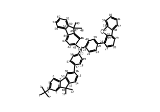 CC(C)(C)c1ccc2c(c1)C(C)(C)c1ccc(-c3ccc(N(c4ccc(-c5cccc6c5oc5ccccc56)cc4)c4ccc5c(c4)C(C)(C)c4ccccc4-5)cc3)cc1-2